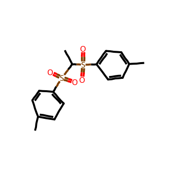 Cc1ccc(S(=O)(=O)C(C)S(=O)(=O)c2ccc(C)cc2)cc1